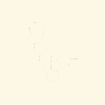 CC(=O)N[C@H]1CC2(CCN(CC3CCC4CCCC(CC4)C3)CC2)c2ccccc21